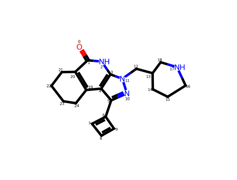 O=c1[nH]c2c(c(C3=CC=C3)nn2CC2CCCNC2)c2c1CCCC2